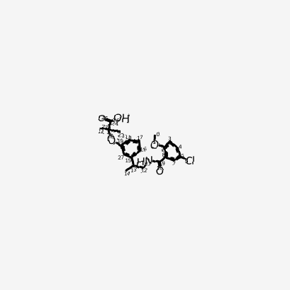 COc1ccc(Cl)cc1C(=O)NCC(C)c1cccc(OC(C)(C)C(=O)O)c1